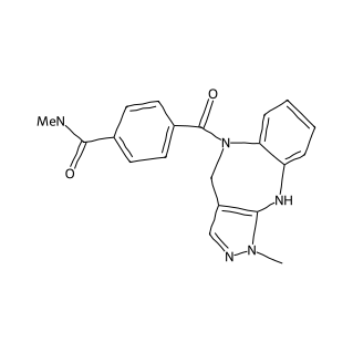 CNC(=O)c1ccc(C(=O)N2Cc3cnn(C)c3Nc3ccccc32)cc1